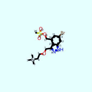 C[Si](C)(C)CCOCc1n[nH]c2cc(Br)cc(COS(C)(=O)=O)c12